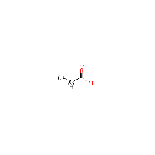 O=C(O)[AsH][Cu]